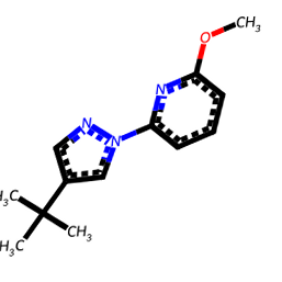 COc1cccc(-n2cc(C(C)(C)C)cn2)n1